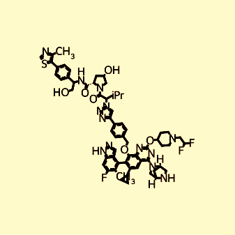 Cc1ncsc1-c1ccc(C(CO)NC(=O)[C@@H]2C[C@@H](O)CN2C(=O)C(C(C)C)n2cc(-c3ccc(COc4c(-c5c(C)c(F)cc6[nH]ncc56)c(C5CC5)cc5c(N6C[C@@H]7C[C@H]6CN7)nc(OC6CCN(CC(F)F)CC6)nc45)cc3)nn2)cc1